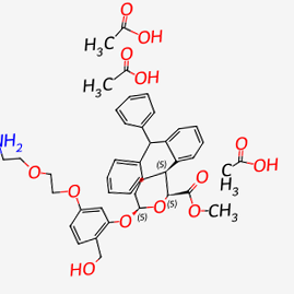 CC(=O)O.CC(=O)O.CC(=O)O.COC(=O)[C@H]1O[C@@H](Oc2cc(OCCOCCN)ccc2CO)CC[C@H]1c1ccccc1C(c1ccccc1)c1ccccc1